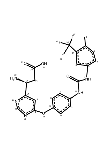 Cc1ccc(NC(=O)Nc2ccc(Oc3cc([C@@H](N)CC(=O)O)ncn3)cc2)cc1C(F)(F)F